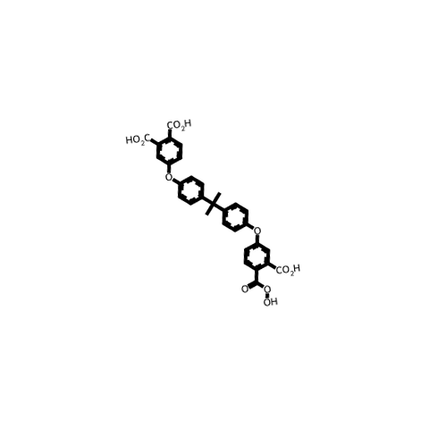 CC(C)(c1ccc(Oc2ccc(C(=O)O)c(C(=O)O)c2)cc1)c1ccc(Oc2ccc(C(=O)OO)c(C(=O)O)c2)cc1